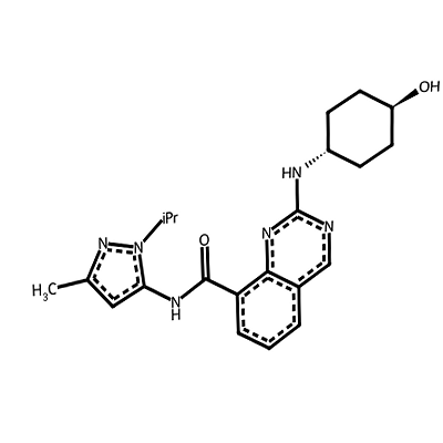 Cc1cc(NC(=O)c2cccc3cnc(N[C@H]4CC[C@H](O)CC4)nc23)n(C(C)C)n1